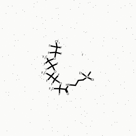 CC[N+](C)(CC)CCCNC(=O)C(F)(OC(F)(F)C(F)(OC(F)(F)C(F)(OC(F)(F)C(F)(F)C(F)(F)F)C(F)(F)F)C(F)(F)F)C(F)(F)F.[I-]